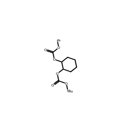 CC(C)OC(=O)OC1CCCCC1OC(=O)OC(C)(C)C